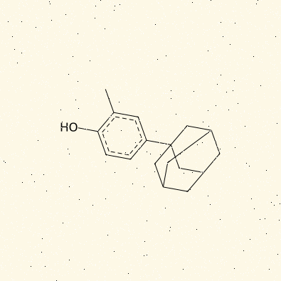 Cc1cc(C23CC4CC(CC(C4)C2)C3)ccc1O